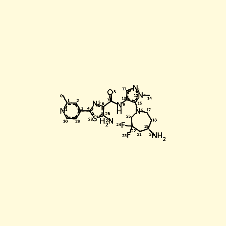 Cc1cc(-c2nc(C(=O)Nc3cnn(C)c3N3CC[C@@H](N)CC(F)(F)C3)c(N)s2)ccn1